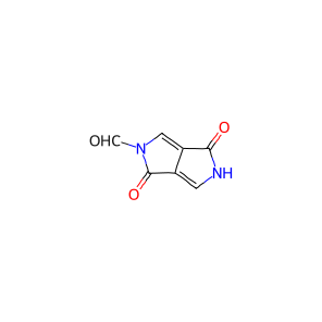 O=CN1C=C2C(=O)NC=C2C1=O